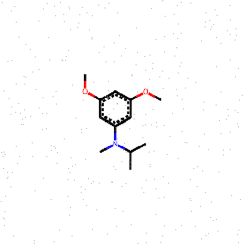 COc1cc(OC)cc(N(C)C(C)C)c1